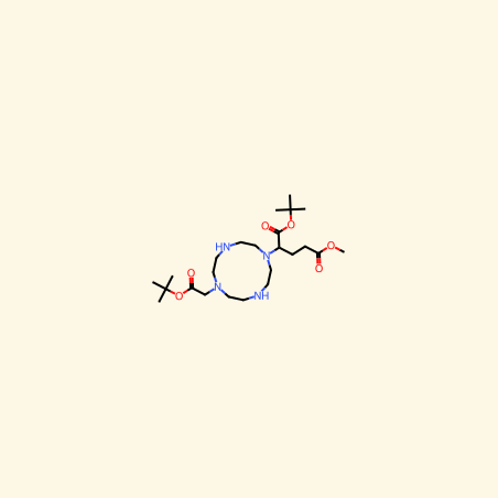 COC(=O)CCC(C(=O)OC(C)(C)C)N1CCNCCN(CC(=O)OC(C)(C)C)CCNCC1